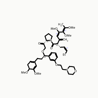 C=C(/C=C(OC)\C(OC)=C(/C)OC)[C@H](C/C=C\CC)C(=O)N1CCC[C@H]1C(=O)CO[C@H](CCC1=CCC(OC)C(OC)=C1)c1cccc(OCCN2CCOCC2)c1